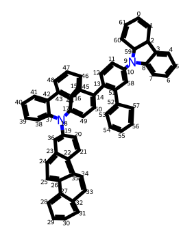 C1=CC2c3ccccc3N(c3ccc(-c4ccc(N(c5ccc6c(ccc7c8ccccc8ccc67)c5)c5ccccc5-c5ccccc5)cc4)c(-c4ccccc4)c3)C2C=C1